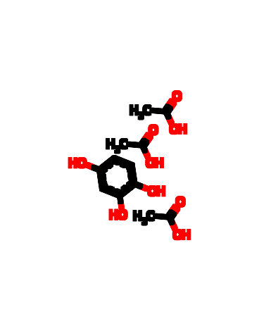 CC(=O)O.CC(=O)O.CC(=O)O.Oc1ccc(O)c(O)c1